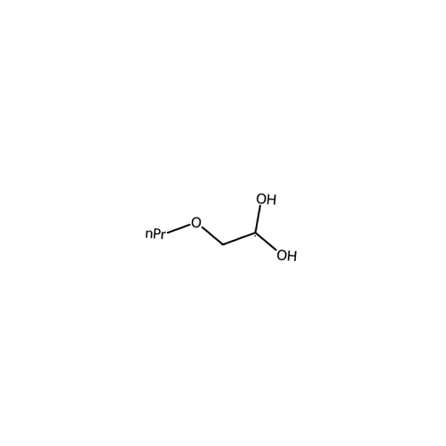 CCCOC[C](O)O